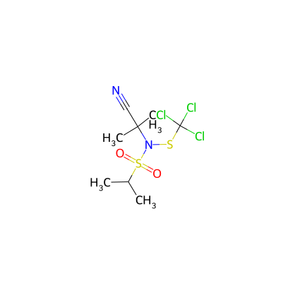 CC(C)S(=O)(=O)N(SC(Cl)(Cl)Cl)C(C)(C)C#N